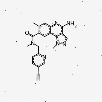 C#Cc1ccc(CN(C)C(=O)c2cc3c(cc2C)nc(N)c2cnn(C)c23)nc1